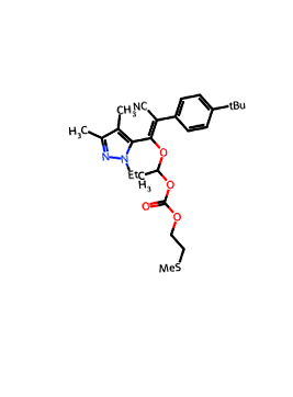 CCn1nc(C)c(C)c1/C(OC(C)OC(=O)OCCSC)=C(\C#N)c1ccc(C(C)(C)C)cc1